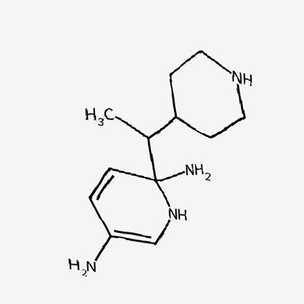 CC(C1CCNCC1)C1(N)C=CC(N)=CN1